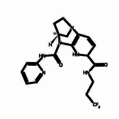 O=C(NCCC(F)(F)F)C1C=CC2=C(N1)N(C(=O)Nc1ccccn1)[C@H]1CCN2C1